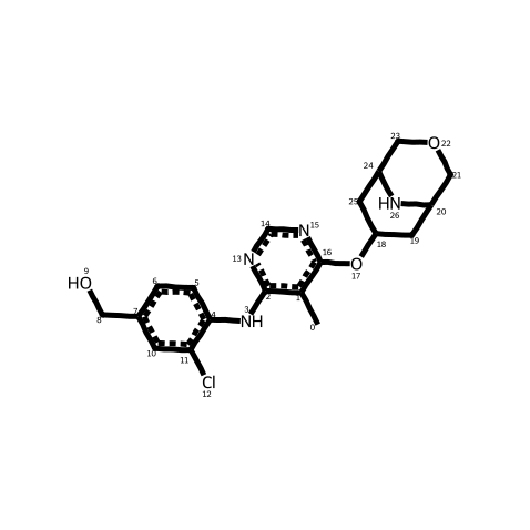 Cc1c(Nc2ccc(CO)cc2Cl)ncnc1OC1CC2COCC(C1)N2